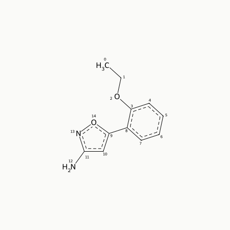 CCOc1ccccc1-c1cc(N)no1